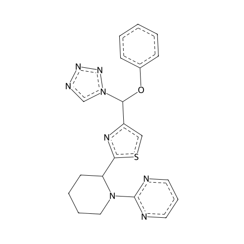 c1ccc(OC(c2csc(C3CCCCN3c3ncccn3)n2)n2cnnn2)cc1